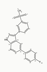 CS(=O)(=O)c1cccc(-c2c[nH]c3ncc(-c4ccc(F)cc4)cc23)c1